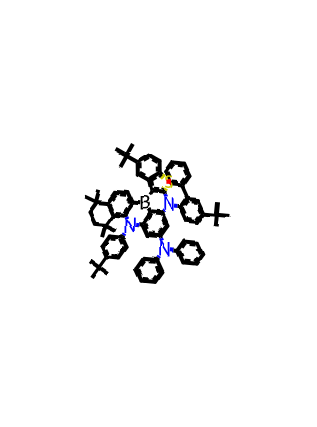 CC(C)(C)c1ccc(N2c3cc(N(c4ccccc4)c4ccccc4)cc4c3B(c3ccc5c(c32)C(C)(C)CCC5(C)C)c2c(sc3ccc(C(C)(C)C)cc23)N4c2ccc(C(C)(C)C)cc2-c2ccccc2)cc1